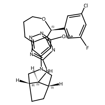 COc1cc(N2C[C@H]3CC[C@@H](C2)[C@@H]3Nc2nc3n(n2)CCCO[C@H]3c2cc(F)cc(Cl)c2)cnn1